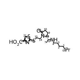 CC(C)CCCCNC(C)[C@H]1CCC(=O)N1CCSc1nc(C(=O)O)cs1